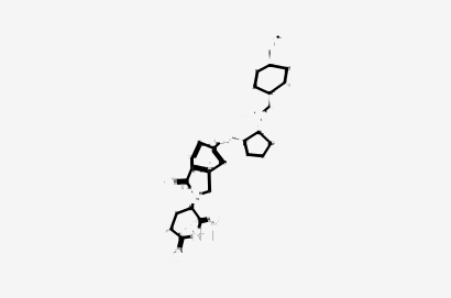 CO[C@H]1CC[C@@H](CN[C@@H]2CCC[C@H]2Oc2ccc3c(c2)CN(C2CCC(=O)NC2=O)C3=O)CC1